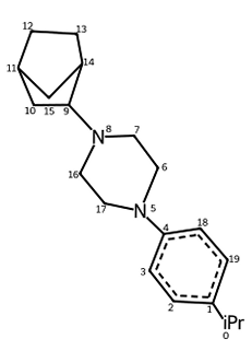 CC(C)c1ccc(N2CCN(C3CC4CCC3C4)CC2)cc1